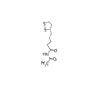 CC(=O)NC(=O)CCCCC1CCSS1